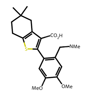 CNCc1cc(OC)c(OC)cc1-c1sc2c(c1C(=O)O)CC(C)(C)CC2